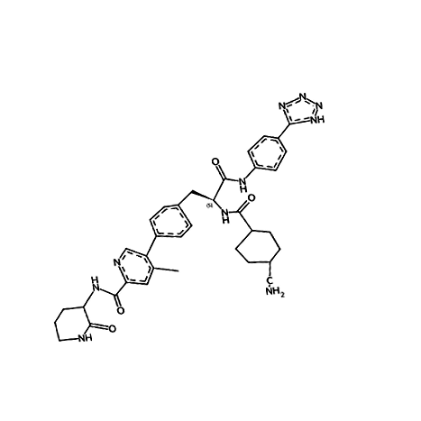 Cc1cc(C(=O)NC2CCCNC2=O)ncc1-c1ccc(C[C@H](NC(=O)C2CCC(CN)CC2)C(=O)Nc2ccc(-c3nnn[nH]3)cc2)cc1